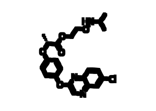 CC(C)NOCCOC(=O)[C@@H](C)Oc1ccc(Oc2cnc3cc(Cl)ccc3n2)cc1